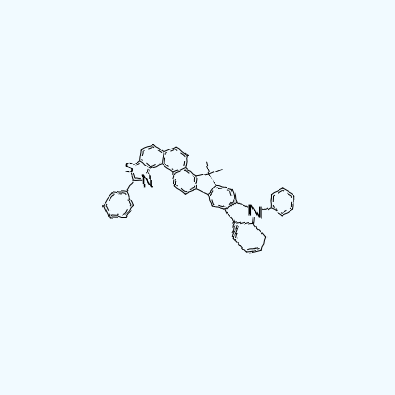 CC1(C)c2cc3c(cc2-c2ccc4c(ccc5ccc6sc(-c7ccccc7)nc6c54)c21)C1=CC=CCC1N3c1ccccc1